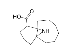 O=C(O)C1CCCC23CCCCCCC12N3